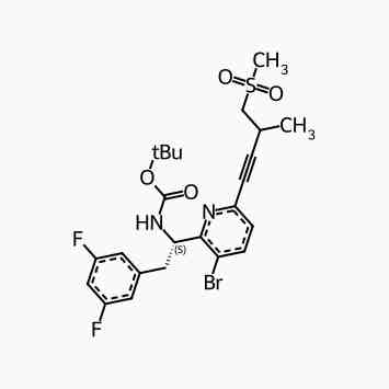 CC(C#Cc1ccc(Br)c([C@H](Cc2cc(F)cc(F)c2)NC(=O)OC(C)(C)C)n1)CS(C)(=O)=O